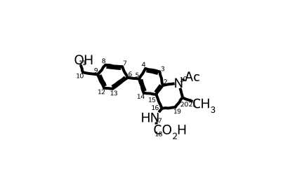 CC(=O)N1c2ccc(-c3ccc(CO)cc3)cc2C(NC(=O)O)CC1C